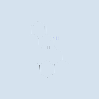 CC(C=CNc1ccccc1C(=O)O)c1ccccc1